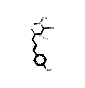 CC(=O)Oc1ccc(/C=C/C[C@@H](C)[C@@H](O)C(N(C)C(C)(C)C)C(C)(C)C)cc1